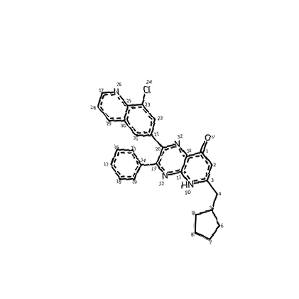 O=c1cc(CC2CCCC2)[nH]c2nc(-c3ccccc3)c(-c3cc(Cl)c4ncccc4c3)nc12